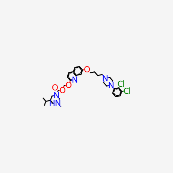 CNCN(CC(C)C(C)C)C(=O)OCOc1ccc2ccc(OCCCCN3CCN(c4cccc(Cl)c4Cl)CC3)cc2n1